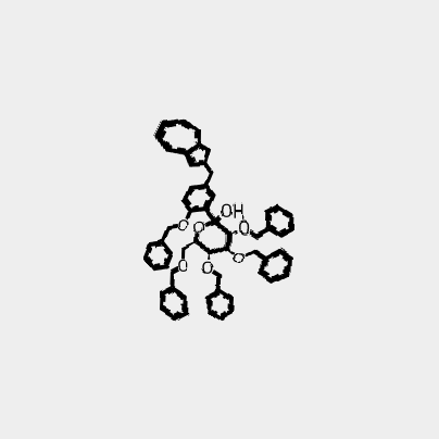 OC1(c2cc(Cc3cc4cccccc-4c3)ccc2OCc2ccccc2)O[C@H](COCc2ccccc2)[C@@H](OCc2ccccc2)[C@H](OCc2ccccc2)[C@H]1OCc1ccccc1